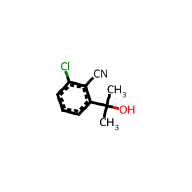 CC(C)(O)c1cccc(Cl)c1C#N